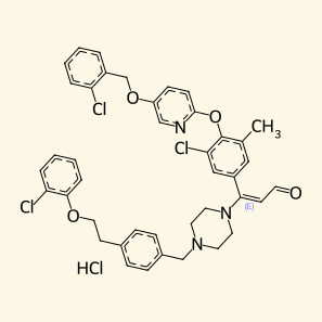 Cc1cc(/C(=C\C=O)N2CCN(Cc3ccc(CCOc4ccccc4Cl)cc3)CC2)cc(Cl)c1Oc1ccc(OCc2ccccc2Cl)cn1.Cl